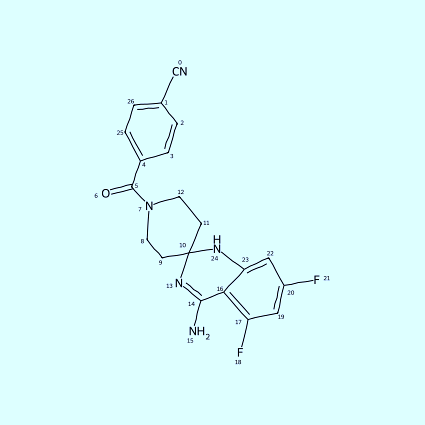 N#Cc1ccc(C(=O)N2CCC3(CC2)N=C(N)c2c(F)cc(F)cc2N3)cc1